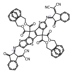 N#CC(C#N)=C1/C(=N/c2cc3c(s2)C2=C(c4sc5cc(/N=C6/C(=O)c7ccccc7C6=C(C#N)C#N)sc5c4C2(C(=O)OCc2ccccc2)C(=O)OCc2ccccc2)C3(C(=O)OCc2ccccc2)C(=O)OCc2ccccc2)C(=O)c2ccccc21